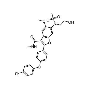 CNC(=O)c1c(-c2ccc(Oc3ccc(Cl)cc3)cc2)oc2cc(N(CCO)S(C)(=O)=O)c(OC)cc12